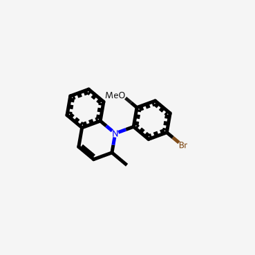 COc1ccc(Br)cc1N1c2ccccc2C=CC1C